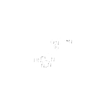 CN(c1ncnc2[nH]ccc12)[C@H]1C[C@@H](CS(=O)(=O)N2CCC(C#N)C2)C1